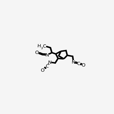 CCC(N=C=O)C1C2CC(CN=C=O)C(C2)C1CN=C=O